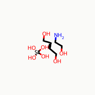 NCCO.OCC=CCO.O[Si](O)(O)O